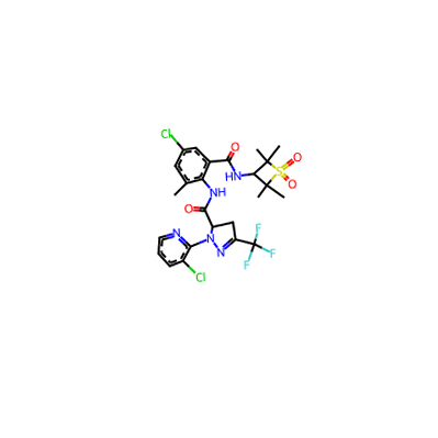 Cc1cc(Cl)cc(C(=O)NC2C(C)(C)S(=O)(=O)C2(C)C)c1NC(=O)C1CC(C(F)(F)F)=NN1c1ncccc1Cl